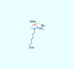 CCC(C)SP(=O)(NC)N(C)C(=S)CCCCCCOC(C)=O